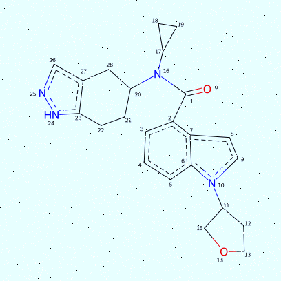 O=C(c1cccc2c1ccn2C1CCOC1)N(C1CC1)C1CCc2[nH]ncc2C1